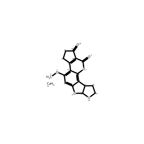 COc1cc2c(c3oc(=O)c4c(c13)CCC4=O)C1CCOC1O2.[CaH2]